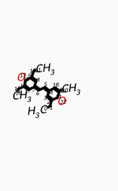 CCC1=C/C(=C\C=C2C=C(CC)C(=O)C(CC)=C2)C=C(C)C1=O